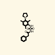 Cc1cc(C)c(N2CCCC2)c(C)c1NS(=O)(=O)NC(=O)Cc1ccccc1